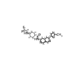 Cc1ncc(-c2cc3cc(NC(=O)[C@H]4CC[C@H](NCC(F)F)CC4)ncc3cn2)o1